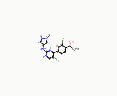 COC(O)c1ccc(-c2nc(Nc3cnn(C)c3)ncc2F)cc1F